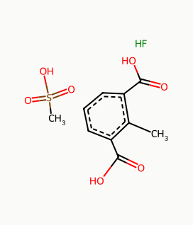 CS(=O)(=O)O.Cc1c(C(=O)O)cccc1C(=O)O.F